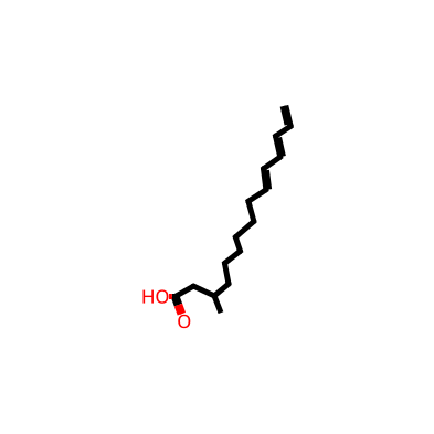 C=CC=CC=CCCCCCCC(C)CC(=O)O